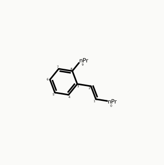 CCCC=Cc1ccccc1CCC